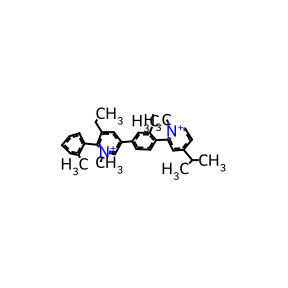 CCc1cc(-c2ccc(-c3cc(C(C)C)cc[n+]3C)c(C)c2)c[n+](C)c1-c1ccccc1C